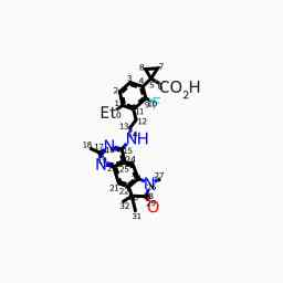 CCc1ccc(C2(C(=O)O)CC2)c(F)c1CCNc1nc(C)nc2cc3c(cc12)N(C)C(=O)C3(C)C